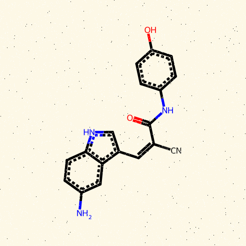 N#CC(=Cc1c[nH]c2ccc(N)cc12)C(=O)Nc1ccc(O)cc1